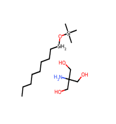 CCCCCCCC[SiH2]O[Si](C)(C)C.NC(CO)(CO)CO